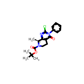 C[C@H]1c2nc(Cl)n(-c3ccccc3)c(=O)c2CCN1C(=O)OC(C)(C)C